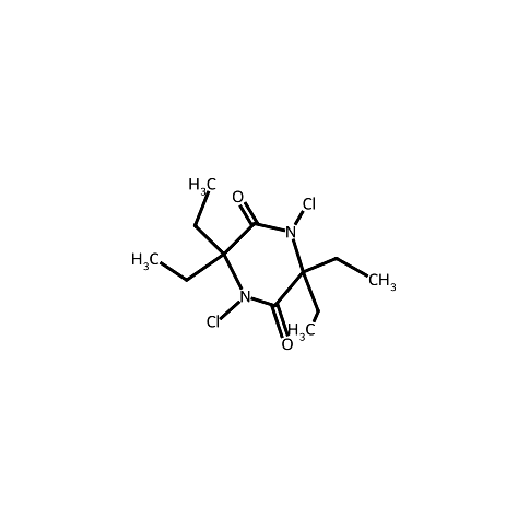 CCC1(CC)C(=O)N(Cl)C(CC)(CC)C(=O)N1Cl